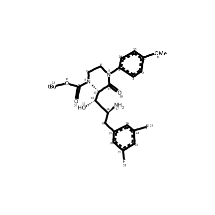 COc1ccc(N2CCN(C(=O)OC(C)(C)C)[C@@H]([C@@H](O)[C@@H](N)Cc3cc(F)cc(F)c3)C2=O)cc1